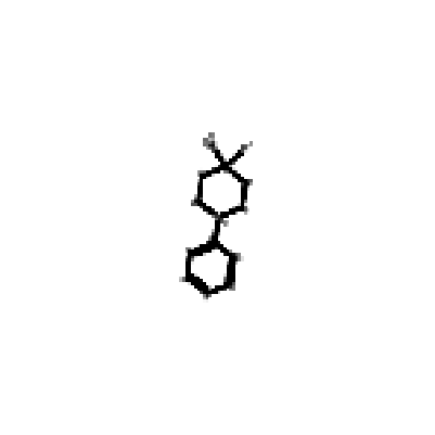 [2H]C1(F)CCN(c2ccccc2)CC1